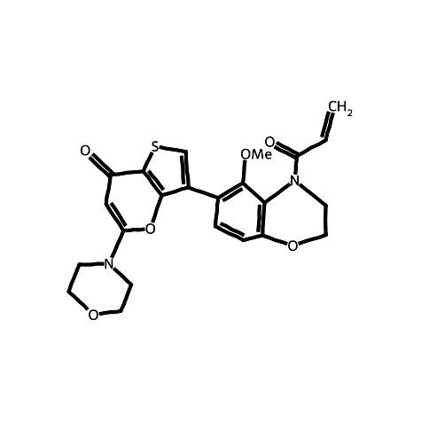 C=CC(=O)N1CCOc2ccc(-c3csc4c(=O)cc(N5CCOCC5)oc34)c(OC)c21